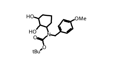 COc1ccc(CN(C(=O)OC(C)(C)C)C2CCCC(O)C2O)cc1